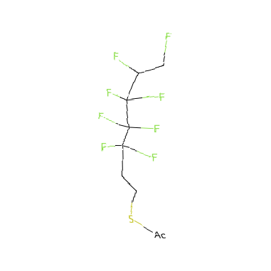 CC(=O)SCCC(F)(F)C(F)(F)C(F)(F)C(F)CF